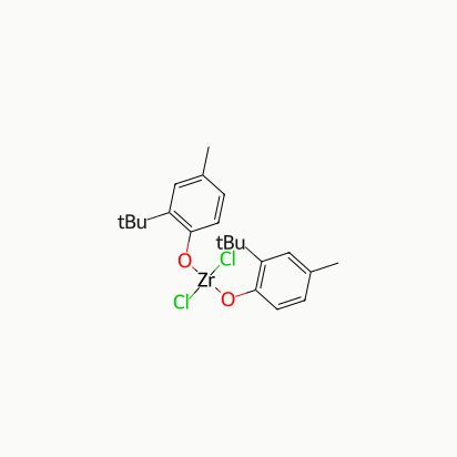 Cc1ccc([O][Zr]([Cl])([Cl])[O]c2ccc(C)cc2C(C)(C)C)c(C(C)(C)C)c1